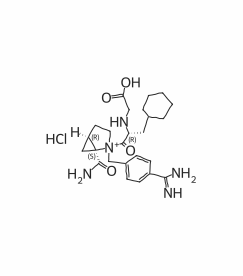 Cl.N=C(N)c1ccc(C[N+]2(C(=O)[C@@H](CC3CCCCC3)NCC(=O)O)CC[C@@H]3C[C@@]32C(N)=O)cc1